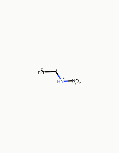 CCCCN[N+](=O)[O-]